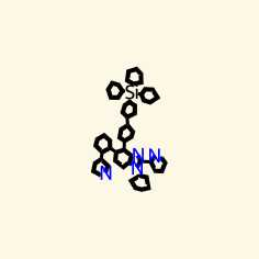 c1ccc(-n2c(-c3ccccn3)nc3c(-c4ccc(-c5ccc([Si](c6ccccc6)(c6ccccc6)c6ccccc6)cc5)cc4)c(-c4ccccc4-c4cccnc4)ccc32)cc1